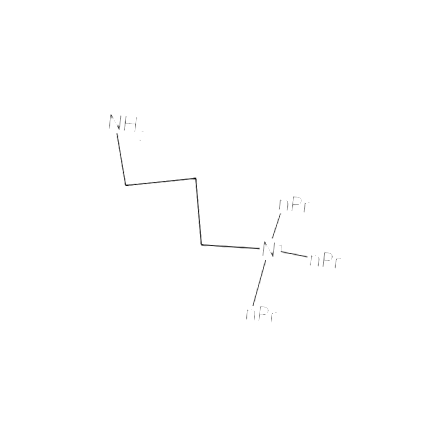 CCC[N+](CCC)(CCC)CCCN